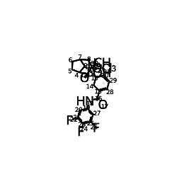 C[C@]1(O)CC2CCC(C1)[C@H]2S(=O)(=O)C1CC(C(=O)Nc2cc(F)c(F)c(F)c2)=CC=C1Cl